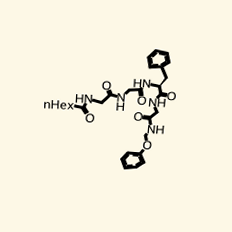 CCCCCCC(=O)NCC(=O)NCC(=O)N[C@@H](Cc1ccccc1)C(=O)NCC(=O)NCOc1ccccc1